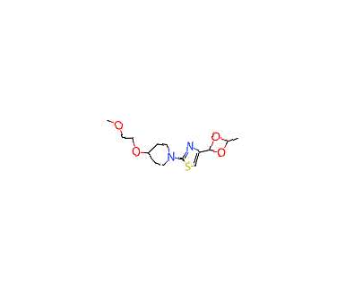 COCCOC1CCN(c2nc(C3OC(C)O3)cs2)CC1